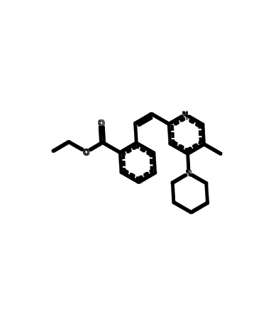 CCOC(=O)c1ccccc1/C=C\c1cc(N2CCCCC2)c(C)cn1